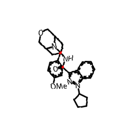 COc1ccc(CN2C3COCC2CC(NC(=O)c2nn(C4CCCC4)c4ccccc24)C3)cc1